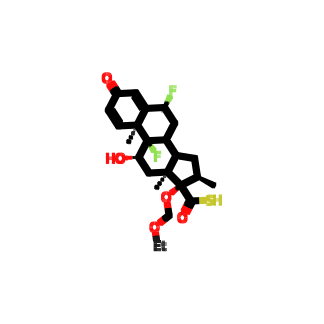 CCOCO[C@]1(C(=O)S)[C@H](C)CC2C3C[C@H](F)C4=CC(=O)C=C[C@]4(C)[C@@]3(F)[C@@H](O)C[C@@]21C